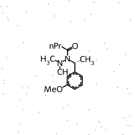 CCCC(=O)N([C@H](C)c1cccc(OC)c1)N(C)C